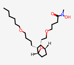 CCCCCCOCCCC[C@@H]1[C@H](CCOCCCC(=O)N(C)O)[C@@H]2CC[C@H]1O2